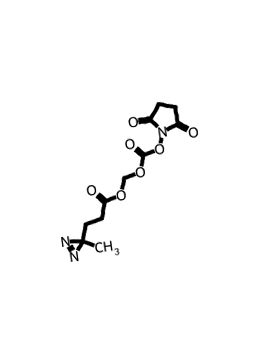 CC1(CCC(=O)OCOC(=O)ON2C(=O)CCC2=O)N=N1